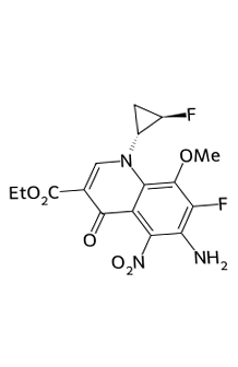 CCOC(=O)c1cn([C@@H]2C[C@H]2F)c2c(OC)c(F)c(N)c([N+](=O)[O-])c2c1=O